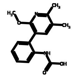 COc1nc(C)c(C)cc1-c1ccccc1NC(=O)O